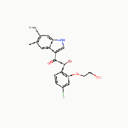 COc1cc2[nH]cc(C(=O)C(Br)c3ccc(Cl)cc3OCCO)c2cc1C